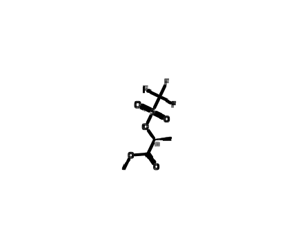 COC(=O)[C@H](C)OS(=O)(=O)C(F)(F)F